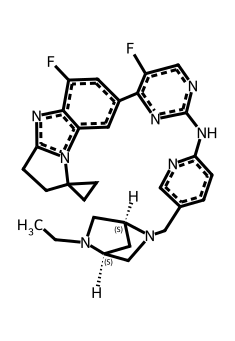 CCN1C[C@@H]2C[C@H]1CN2Cc1ccc(Nc2ncc(F)c(-c3cc(F)c4nc5n(c4c3)C3(CC5)CC3)n2)nc1